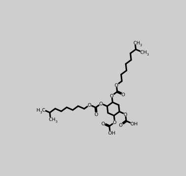 CC(C)CCCCCCOC(=O)OC1CC(OC(=O)O)C(OC(=O)O)CC1OC(=O)OCCCCCCC(C)C